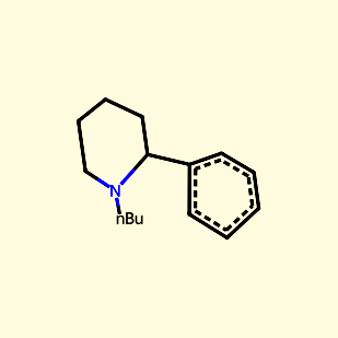 CCCCN1CCCCC1c1ccccc1